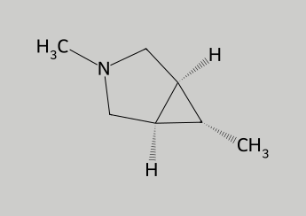 C[C@@H]1[C@H]2CN(C)C[C@@H]12